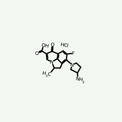 CC1Cc2c(N3CCC(N)C3)c(F)cc3c(=O)c(C(=O)O)cn1c23.Cl